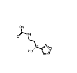 O=C(O)NCC[C@@H](O)c1ccon1